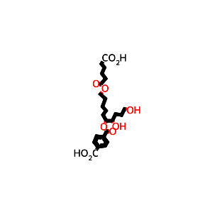 O=C(O)CCCCC(=O)OCCCCCC(OC(=O)c1ccc(C(=O)O)cc1)C(O)CCCO